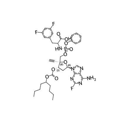 C#C[C@]1(CO[P@@](=O)(NC(Cc2cc(F)cc(F)c2)C(=O)O)Oc2ccccc2)O[C@@H](n2cnc3c(N)nc(F)nc32)C[C@@H]1OC(=O)OC(CCCC)CCCC